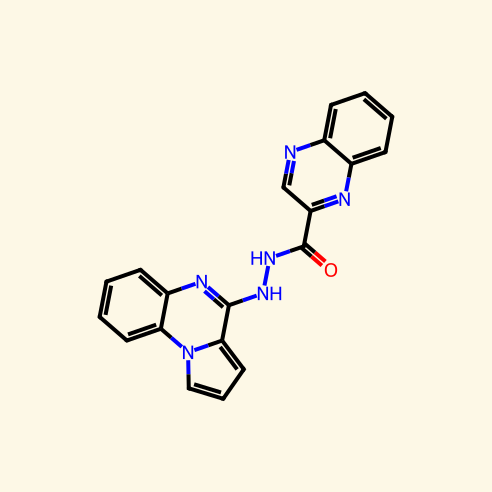 O=C(NNc1nc2ccccc2n2cccc12)c1cnc2ccccc2n1